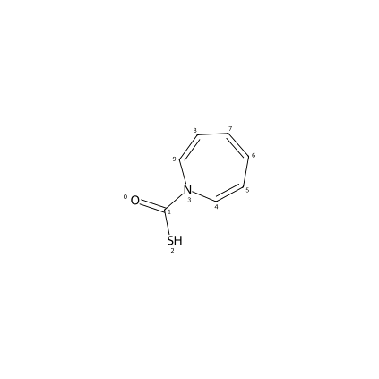 O=C(S)N1C=CC=CC=C1